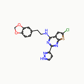 Clc1cc2c(NCCc3ccc4c(c3)OCO4)nc(-c3cc[nH]n3)nc2s1